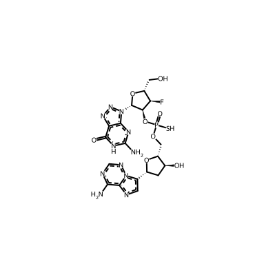 Nc1nc2c(nnn2[C@@H]2O[C@H](CO)[C@@H](F)[C@H]2OP(=O)(S)OC[C@H]2O[C@@H](c3cnc4c(N)ncnn34)C[C@@H]2O)c(=O)[nH]1